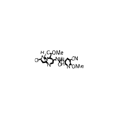 COc1ncc(NC(=O)Nc2cnc3cc(Cl)nn3c2[C@H](C)OC)cc1C#N